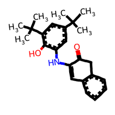 CC(C)(C)c1cc(NC2=Cc3ccccc3CC2=O)c(O)c(C(C)(C)C)c1